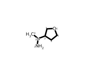 CN(N)C1CCOC1